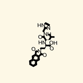 CC(C)C[C@H](N[C@H](CCN1C(=O)c2cc3ccccc3cc2C1=O)C(=O)O)C(=O)NCc1ncc[nH]1